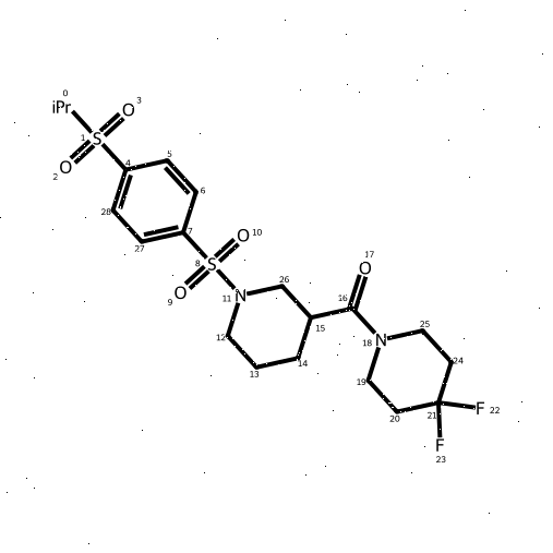 CC(C)S(=O)(=O)c1ccc(S(=O)(=O)N2CCCC(C(=O)N3CCC(F)(F)CC3)C2)cc1